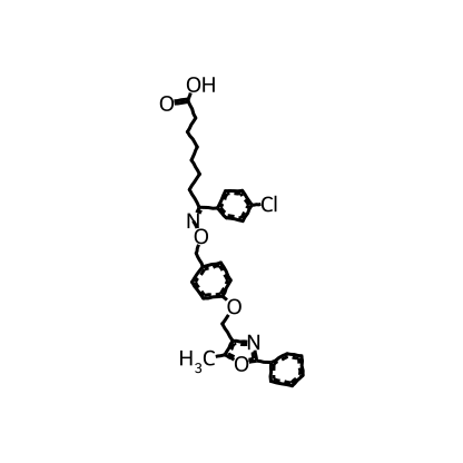 Cc1oc(-c2ccccc2)nc1COc1ccc(CON=C(CCCCCCC(=O)O)c2ccc(Cl)cc2)cc1